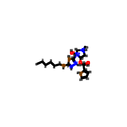 CCCCCCSc1nnc([N+]2([O-])CN(C)CC2OC(=O)c2cccs2)s1